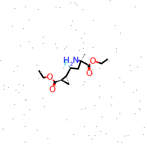 CCOC(=O)[C@@H]1C[C@H]1[C@H](F)C[C@@](C)(N)C(=O)OCC